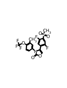 Cc1cc(-n2c(-c3cc(F)c(S(C)(=O)=O)cc3F)coc2=O)ccc1OC(F)(F)F